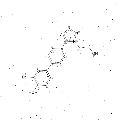 CCc1cc(-c2ccc(-c3ccnn3CCO)cc2)ccc1O